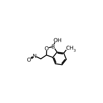 Cc1cccc2c1B(O)OC2CN=O